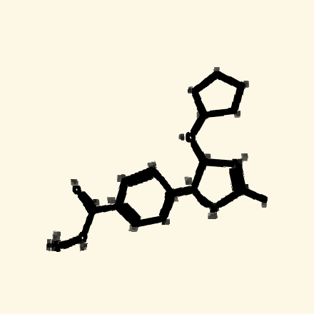 CC1=NC(OC2CCCC2)C(c2ccc(C(=O)OS)cc2)S1